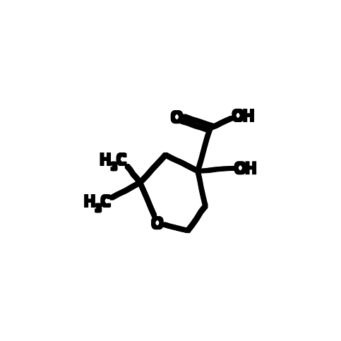 CC1(C)CC(O)(C(=O)O)CCO1